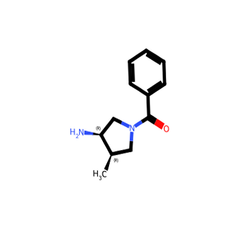 C[C@@H]1CN(C(=O)c2ccccc2)C[C@@H]1N